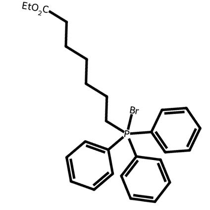 CCOC(=O)CCCCCCP(Br)(c1ccccc1)(c1ccccc1)c1ccccc1